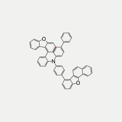 c1ccc(-c2ccc(N(c3ccc(-c4cccc5oc6c7ccccc7ccc6c45)cc3)c3ccccc3-c3cccc4oc5ccccc5c34)cc2)cc1